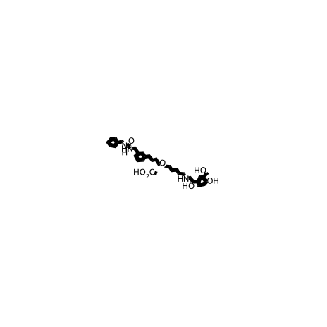 CC(=O)O.O=C(NCc1ccccc1)NCc1cccc(CCCCOCCCCCCNC[C@H](O)c2ccc(O)c(CO)c2)c1